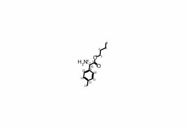 CCCCOC(=O)[C@@H](N)c1ccc(C)cc1